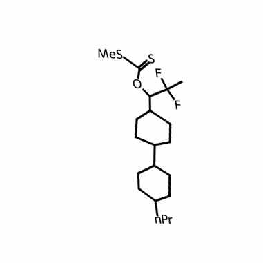 CCCC1CCC(C2CCC(C(OC(=S)SC)C(C)(F)F)CC2)CC1